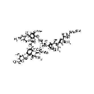 C=C1CC2CN(C(=O)OCc3ccc(O[C@H]4C[C@@H](O)C[C@@H](C=O)O4)c(C(=O)N(C)CCC(C)(C)OC)c3)c3cc(OCCCC(=O)Nc4cc(C(=O)N(I)c5cc(C(=O)NCCCNC)n(C)c5)n(C)c4)c(OC)cc3C(=O)N2C1